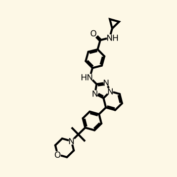 CC(C)(c1ccc(-c2cccn3nc(Nc4ccc(C(=O)NC5CC5)cc4)nc23)cc1)N1CCOCC1